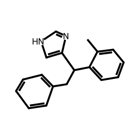 Cc1ccccc1C(Cc1ccccc1)c1c[nH]cn1